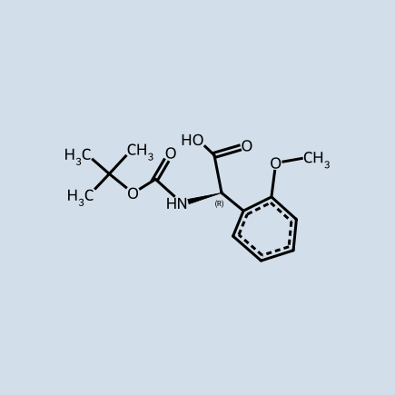 COc1ccccc1[C@@H](NC(=O)OC(C)(C)C)C(=O)O